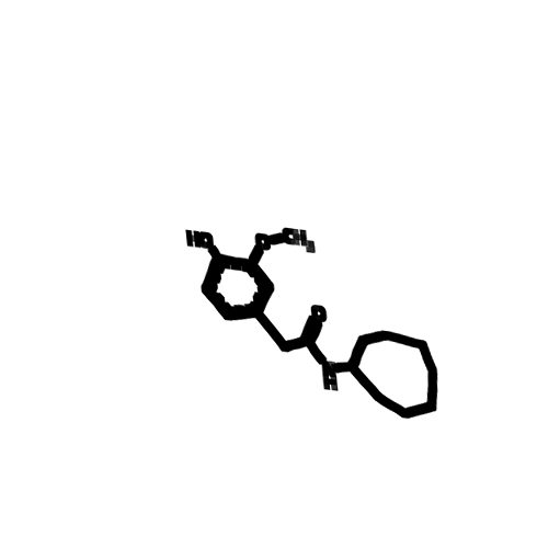 COc1cc(CC(=O)NC2CCCCCCC2)ccc1O